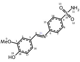 COc1cc(/C=N/c2ccc(S(N)(=O)=O)cc2)ccc1O